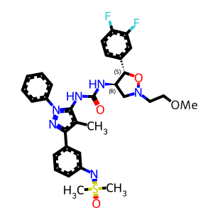 COCCN1C[C@@H](NC(=O)Nc2c(C)c(-c3cccc(N=S(C)(C)=O)c3)nn2-c2ccccc2)[C@H](c2ccc(F)c(F)c2)O1